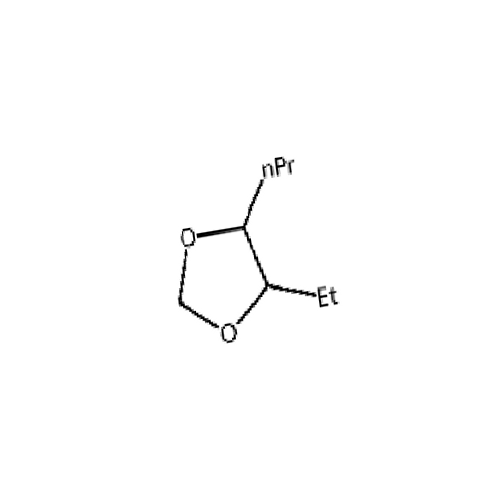 CCCC1OCOC1CC